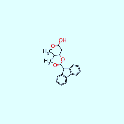 CC(C)C(CC(=O)O)OC(=O)C1c2ccccc2-c2ccccc21